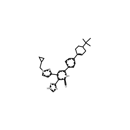 CC(C)(C)C1CC=C(c2ccc(-c3cc(-c4ccn(CC5CC5)n4)c(-c4nc[nH]n4)c(=O)[nH]3)cc2)CC1